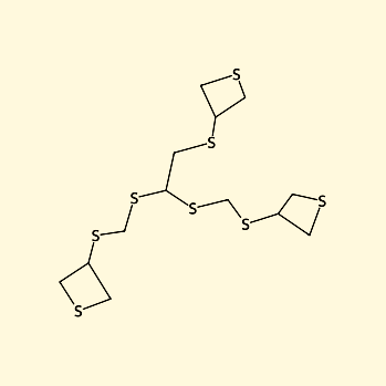 C(SC1CSC1)SC(CSC1CSC1)SCSC1CSC1